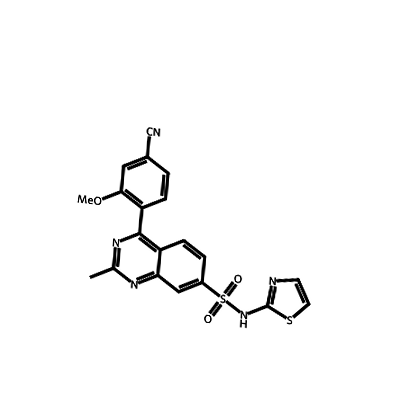 COc1cc(C#N)ccc1-c1nc(C)nc2cc(S(=O)(=O)Nc3nccs3)ccc12